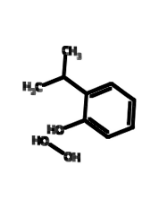 CC(C)c1ccccc1O.OO